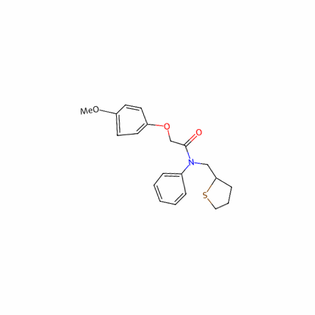 COc1ccc(OCC(=O)N(CC2CCCS2)c2ccccc2)cc1